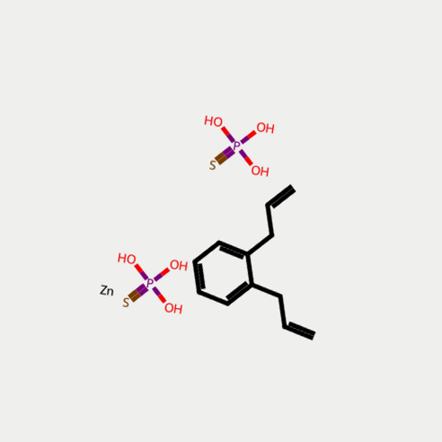 C=CCc1ccccc1CC=C.OP(O)(O)=S.OP(O)(O)=S.[Zn]